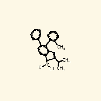 Cc1ccccc1-c1c(-c2ccccc2)ccc2c1C=C(C(C)C)[CH]2[Zr]([Cl])[Cl]